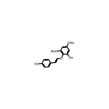 COc1cc(O)c(O/C=C/c2ccc(O)cc2)c(OC)c1